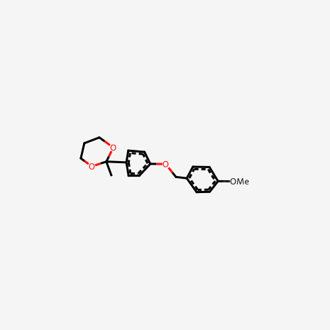 COc1ccc(COc2ccc(C3(C)OCCCO3)cc2)cc1